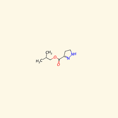 CC(C)COC(=O)C1=NNCC1